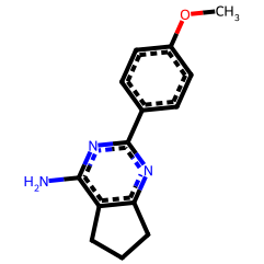 COc1ccc(-c2nc(N)c3c(n2)CCC3)cc1